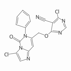 N#Cc1c(Cl)ncnc1OCc1cc2ncc(Cl)n2c(=O)n1-c1ccccc1